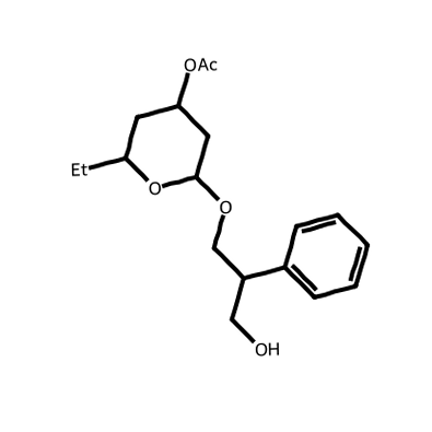 CCC1CC(OC(C)=O)CC(OCC(CO)c2ccccc2)O1